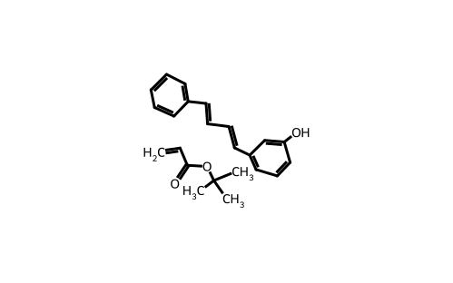 C=CC(=O)OC(C)(C)C.Oc1cccc(C=CC=Cc2ccccc2)c1